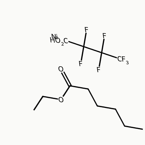 CCCCCC(=O)OCC.O=C(O)C(F)(F)C(F)(F)C(F)(F)F.[Ni]